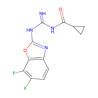 N=C(NC(=O)C1CC1)Nc1nc2ccc(F)c(F)c2o1